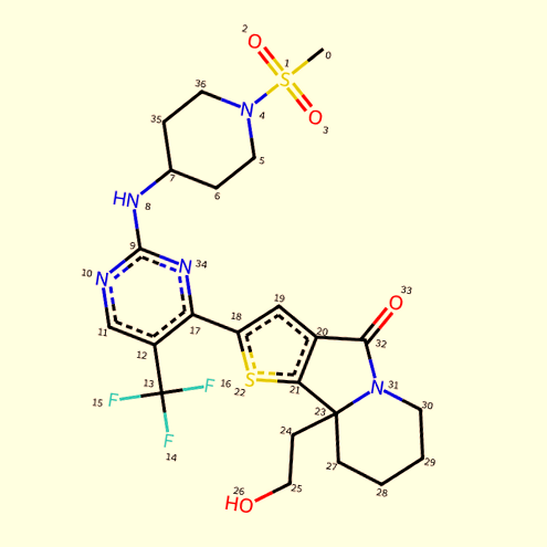 CS(=O)(=O)N1CCC(Nc2ncc(C(F)(F)F)c(-c3cc4c(s3)C3(CCO)CCCCN3C4=O)n2)CC1